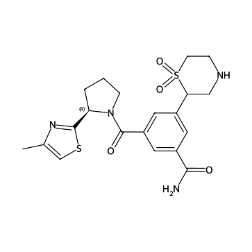 Cc1csc([C@H]2CCCN2C(=O)c2cc(C(N)=O)cc(C3CNCCS3(=O)=O)c2)n1